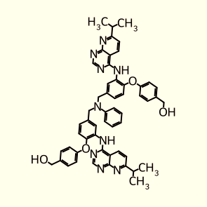 CC(C)c1ccc2c(Nc3cc(CN(Cc4ccc(Oc5ccc(CO)cc5)c(Nc5ncnc6nc(C(C)C)ccc56)c4)c4ccccc4)ccc3Oc3ccc(CO)cc3)ncnc2n1